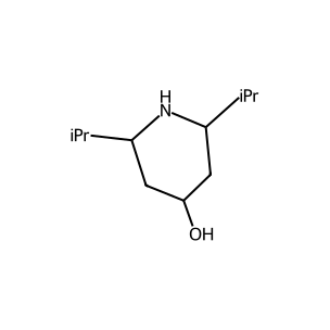 CC(C)C1CC(O)CC(C(C)C)N1